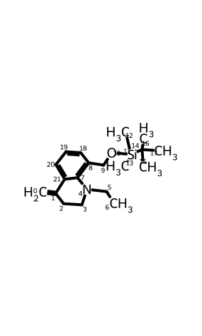 C=C1CCN(CC)c2c(CO[Si](C)(C)C(C)(C)C)cccc21